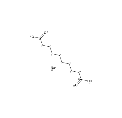 O=C([O-])CCCCCCCCC(=O)O.[Na+]